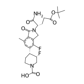 Cc1cc([C@H]2CCN(C(=O)O)C[C@H]2F)c(F)c2c1C(=O)N([C@@H](CCC(=O)OC(C)(C)C)C(N)=O)C2